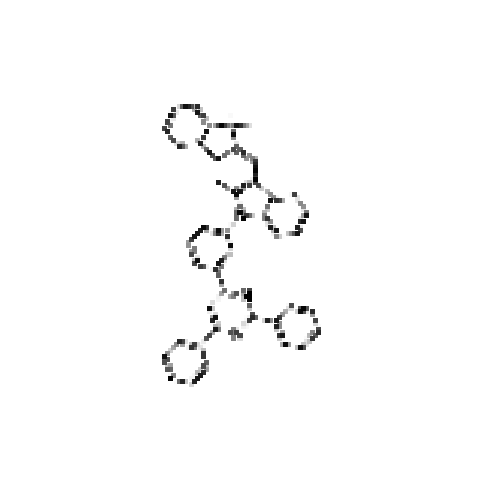 CC1(C)c2ccccc2-c2cc3c(cc21)c1ccccc1n3-c1cccc(-c2cc(-c3ccccc3)nc(-c3ccccc3)n2)c1